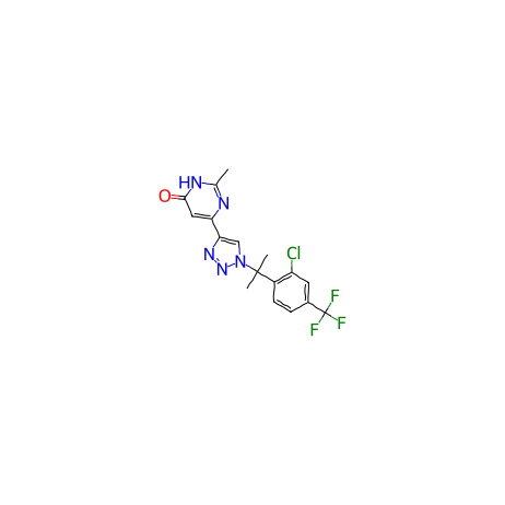 Cc1nc(-c2cn(C(C)(C)c3ccc(C(F)(F)F)cc3Cl)nn2)cc(=O)[nH]1